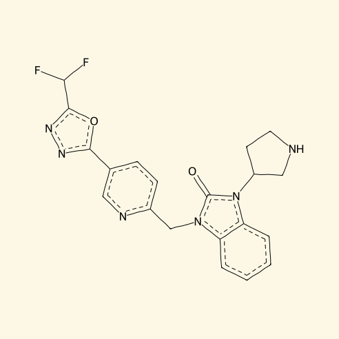 O=c1n(Cc2ccc(-c3nnc(C(F)F)o3)cn2)c2ccccc2n1C1CCNC1